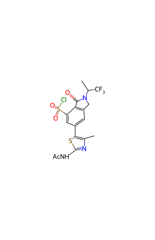 CC(=O)Nc1nc(C)c(-c2cc3c(c(S(=O)(=O)Cl)c2)C(=O)N(C(C)C(F)(F)F)C3)s1